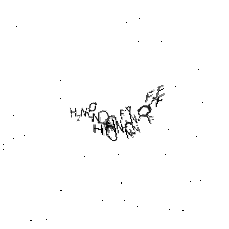 NC(=O)CN1CCC(CNc2ncnc(N(Cc3ccc(C(F)(F)F)cc3F)C3CC3)c2F)[C@@H](O)C1